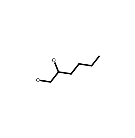 CCCCC([O])C[O]